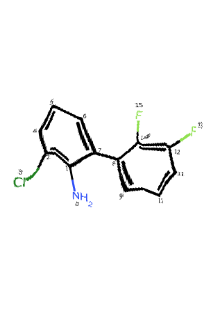 Nc1c(Cl)cccc1-c1cccc(F)c1F